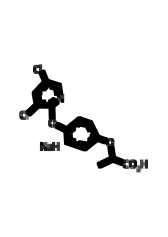 CC(Oc1ccc(Oc2ncc(Cl)cc2Cl)cc1)C(=O)O.[NaH]